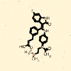 CC(=O)N(CCN(C)C)c1ccc(N/C(=C2\C(=O)Nc3cc(F)ccc32)c2cccc(CCC(=O)O)c2)cc1